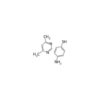 Cc1cc(C)ncn1.Nc1ccc(S)cc1